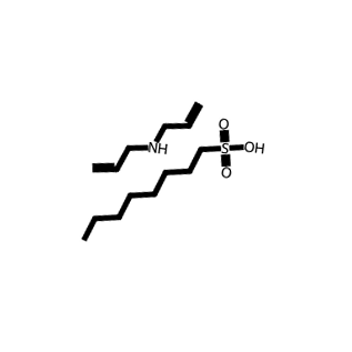 C=CCNCC=C.CCCCCCCCS(=O)(=O)O